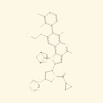 Cc1nc2c(F)c(-c3cccc(Cl)c3Cl)c(CCC#N)cc2c2c1cc(C1CC(n3cnnn3)CN1C(=O)C1CC1)n2C1C2CNC1C2